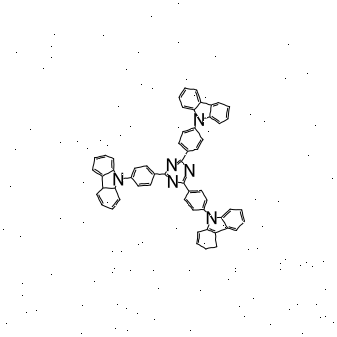 C1=CC2c3ccccc3N(c3ccc(-c4nc(-c5ccc(-n6c7c(c8ccccc86)CCC=C7)cc5)nc(-c5ccc(-n6c7ccccc7c7ccccc76)cc5)n4)cc3)C2C=C1